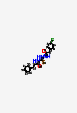 O=C(Cc1ccc(F)cc1)NNC(=S)NC(=O)CCc1ccccc1